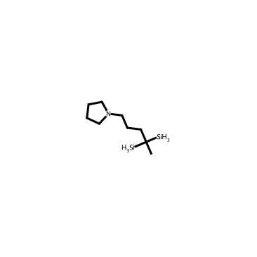 CC([SiH3])([SiH3])CCCN1CCCC1